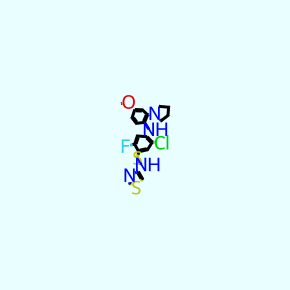 COc1ccc(Nc2cc(F)c(SNc3cscn3)cc2Cl)c(N2CCCC2)c1